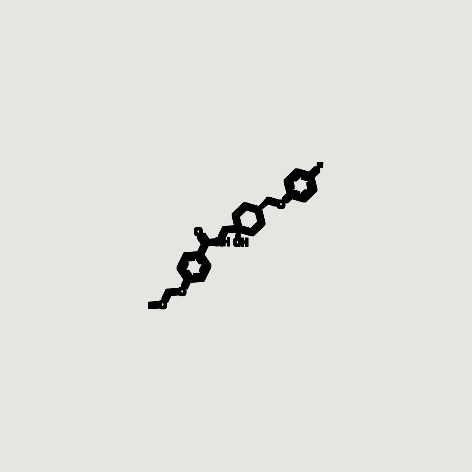 COCOc1ccc(C(=O)NC[C@]2(O)CC[C@@H](COc3ccc(F)cc3)CC2)cc1